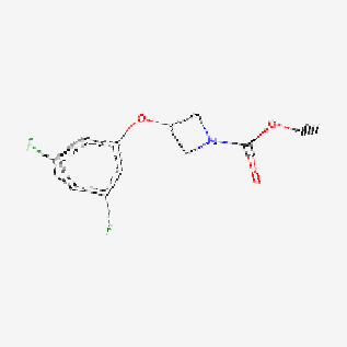 CC(C)(C)OC(=O)N1CC(Oc2cc(F)cc(F)c2)C1